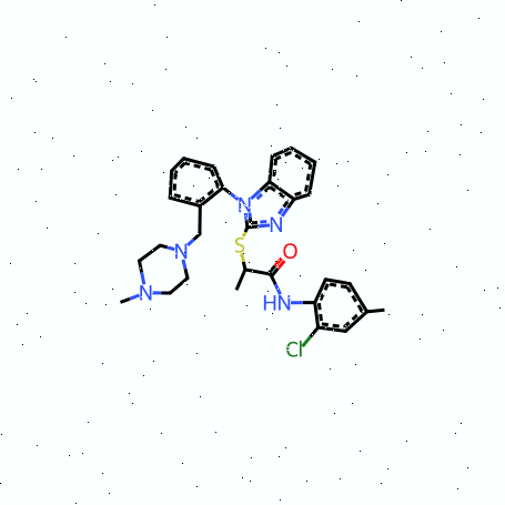 Cc1ccc(NC(=O)C(C)Sc2nc3ccccc3n2-c2ccccc2CN2CCN(C)CC2)c(Cl)c1